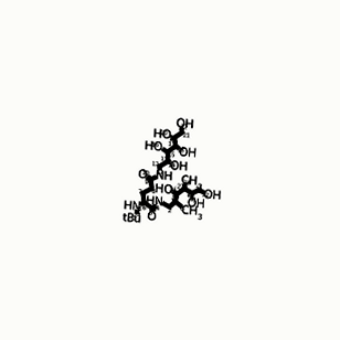 CC(CNC(=O)C(CCC(=O)NCC(O)C(O)C(O)[C@H](O)CO)NC(C)(C)C)C(O)C(C)[C@H](O)CO